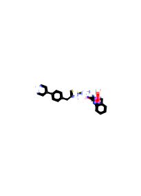 CN1C(=O)C2CC(C)(C(=O)Nc3nc(Cc4ccc(-c5ccncc5)cc4)cs3)C1c1ccccc12